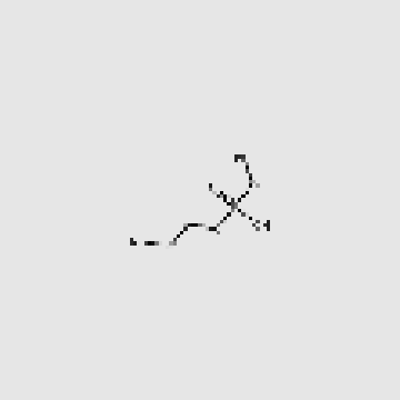 CC(C)OP(=O)(O)OCCC#N